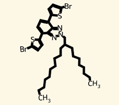 CCCCCCCCCCC(CCCCCCCC)Cn1nc2c(-c3ccc(Br)s3)ccc(-c3ccc(Br)s3)c2n1